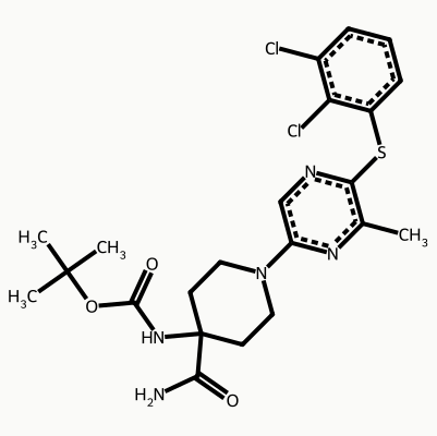 Cc1nc(N2CCC(NC(=O)OC(C)(C)C)(C(N)=O)CC2)cnc1Sc1cccc(Cl)c1Cl